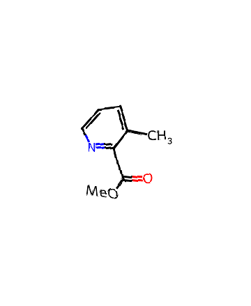 [CH2]OC(=O)c1ncccc1C